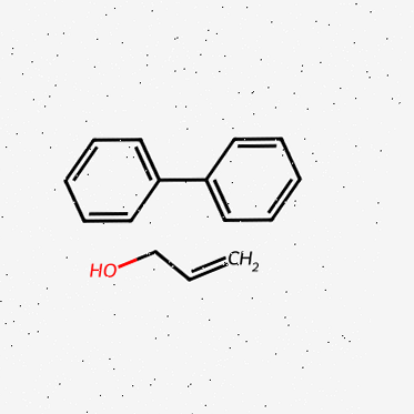 C=CCO.c1ccc(-c2ccccc2)cc1